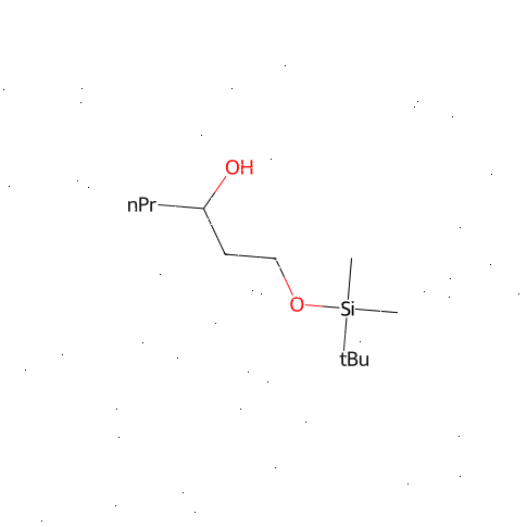 CCCC(O)CCO[Si](C)(C)C(C)(C)C